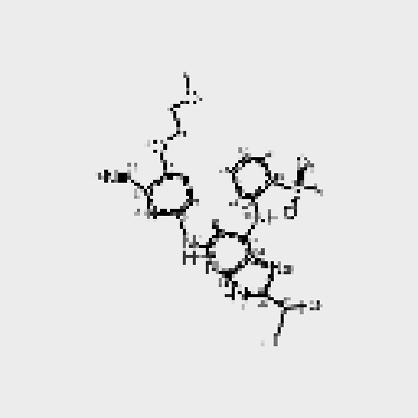 COCCOc1ccc(Nc2cc(Nc3ccccc3S(C)(=O)=O)c3nc(C(F)F)[nH]c3n2)nc1C#N